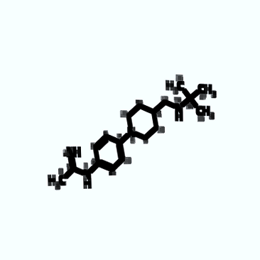 CC(=N)Nc1ccc(N2CCC(CNC(C)(C)C)CC2)cc1